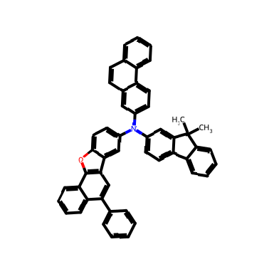 CC1(C)c2ccccc2-c2ccc(N(c3ccc4c(ccc5ccccc54)c3)c3ccc4oc5c6ccccc6c(-c6ccccc6)cc5c4c3)cc21